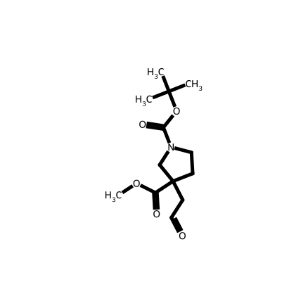 COC(=O)C1(CC=O)CCN(C(=O)OC(C)(C)C)C1